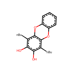 CCCCc1c(O)c(O)c(CCCC)c2c1Oc1ccccc1O2